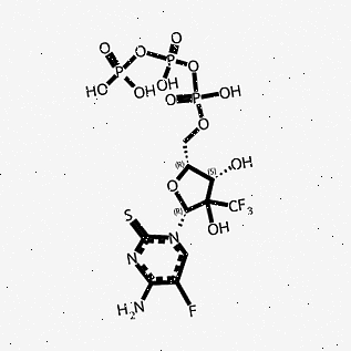 Nc1nc(=S)n([C@@H]2O[C@H](COP(=O)(O)OP(=O)(O)OP(=O)(O)O)[C@H](O)C2(O)C(F)(F)F)cc1F